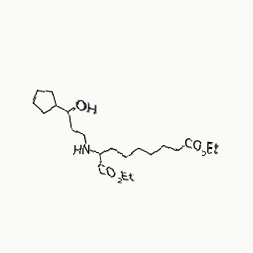 CCOC(=O)CCCCCCC(NCCC(O)C1CCCC1)C(=O)OCC